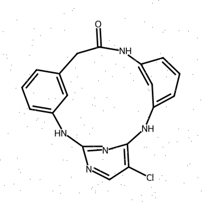 O=C1Cc2cccc(c2)Nc2ncc(Cl)c(n2)Nc2cccc(c2)N1